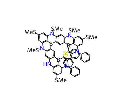 CSc1cc2c3c(c1)N(SC)c1cc4c(cc1B3c1cc3c(cc1N2SC)Nc1cc(SC)cc2c1B3c1sc3ccccc3c1N2c1ccccc1)B1c2sc3ccccc3c2N(c2ccccc2)c2cc(SC)cc(c21)N4SC